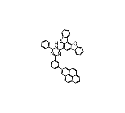 c1ccc(C2N=C(c3cccc(-c4cc5ccc6cccc7ccc(c4)c5c67)c3)N=C(c3cc4c5ccccc5oc4c4c3sc3ccccc34)N2)cc1